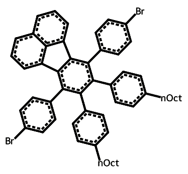 CCCCCCCCc1ccc(-c2c(-c3ccc(CCCCCCCC)cc3)c(-c3ccc(Br)cc3)c3c(c2-c2ccc(Br)cc2)-c2cccc4cccc-3c24)cc1